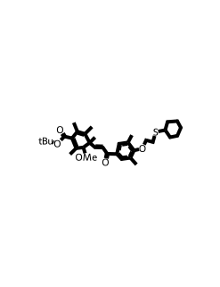 COC1C(C)=C(C(=O)OC(C)(C)C)C(C)=C(C)C1(C)C=CC(=O)c1cc(C)c(OCCSC2CCCCC2)c(C)c1